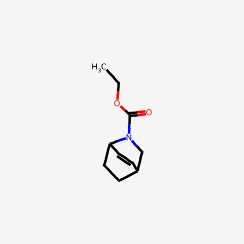 CCOC(=O)N1CC2C=CC1CC2